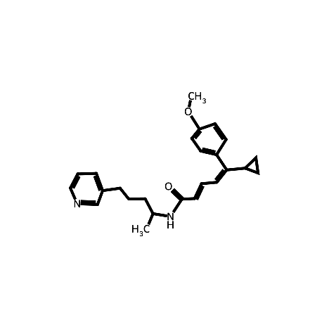 COc1ccc(/C(=C\C=C\C(=O)NC(C)CCCc2cccnc2)C2CC2)cc1